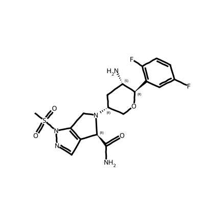 CS(=O)(=O)n1ncc2c1CN([C@H]1CO[C@H](c3cc(F)ccc3F)[C@@H](N)C1)[C@H]2C(N)=O